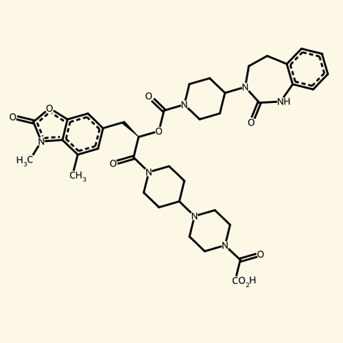 Cc1cc(C[C@@H](OC(=O)N2CCC(N3CCc4ccccc4NC3=O)CC2)C(=O)N2CCC(N3CCN(C(=O)C(=O)O)CC3)CC2)cc2oc(=O)n(C)c12